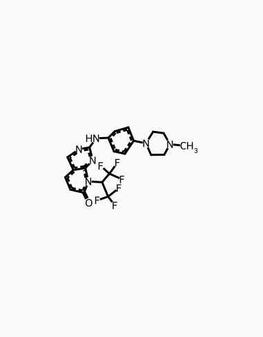 CN1CCN(c2ccc(Nc3ncc4ccc(=O)n(C(C(F)(F)F)C(F)(F)F)c4n3)cc2)CC1